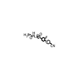 BCC(=O)NC[C@H]1CN(c2ccc(N3CCC(=CC#N)CC3)c(F)c2)C(=O)O1